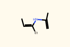 C=C(C)N/C(=C\C)CC